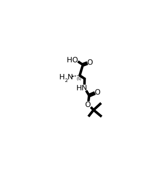 CC(C)(C)OC(=O)NC[C@H](N)C(=O)O